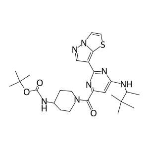 CC(Nc1cc(C(=O)N2CCC(NC(=O)OC(C)(C)C)CC2)nc(-c2cnn3ccsc23)n1)C(C)(C)C